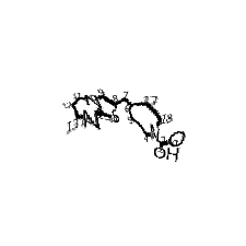 O=C(O)N1CCC(CC2=CN3CCCN=C3S2)CC1